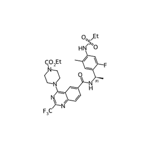 CCOC(=O)N1CCN(c2nc(C(F)(F)F)nc3ccc(C(=O)N[C@H](C)c4cc(C)c(NS(=O)(=O)CC)cc4F)cc23)CC1